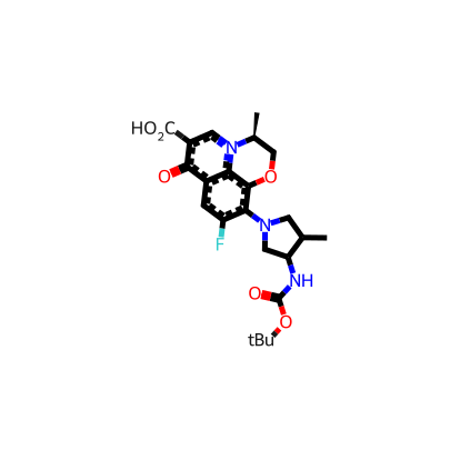 CC1CN(c2c(F)cc3c(=O)c(C(=O)O)cn4c3c2OC[C@@H]4C)CC1NC(=O)OC(C)(C)C